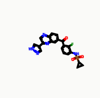 O=C(c1ccc2ncc(-c3cn[nH]c3)nc2c1)c1cccc(NS(=O)(=O)C2CC2)c1F